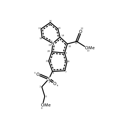 COCCS(=O)(=O)c1ccc2c(C(=O)OC)c3ccccn3c2c1